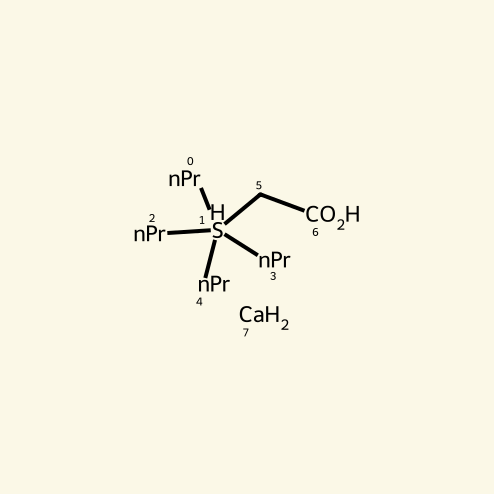 CCC[SH](CCC)(CCC)(CCC)CC(=O)O.[CaH2]